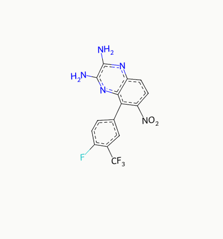 Nc1nc2ccc([N+](=O)[O-])c(-c3ccc(F)c(C(F)(F)F)c3)c2nc1N